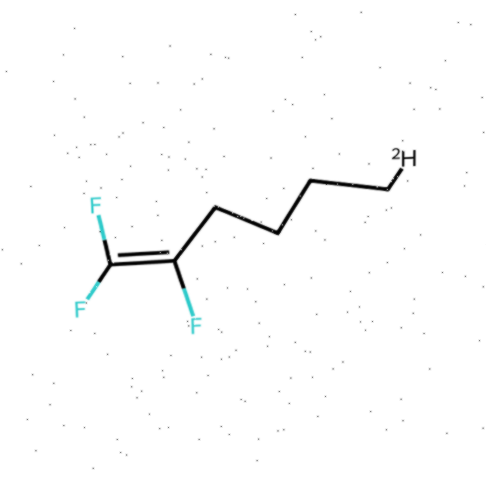 [2H]CCCCC(F)=C(F)F